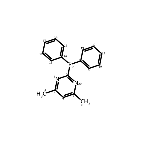 Cc1cc(C)nc(P(c2ccccc2)c2ccccc2)n1